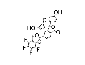 O=C(Oc1c(F)c(F)c(F)c(F)c1F)c1ccc2c(c1)C1(OC2=O)c2ccc(O)cc2Oc2cc(O)ccc21